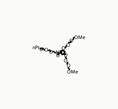 CCCOCCOCCOCCNC(=O)c1cc(OCCOCCOCCOC)cc(OCCOCCOCCOC)c1